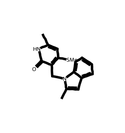 CSc1cc(C)[nH]c(=O)c1Cn1c(C)cc2ccccc21